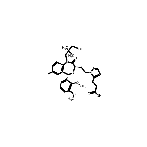 COc1cccc([C@H]2O[C@H](CCn3nccc3CCC(=O)O)C(=O)N(CC(C)(C)CO)c3ccc(Cl)cc32)c1OC